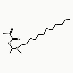 C=C(C)C(=O)OC(C)N(C)CCCCCCCCCCCC